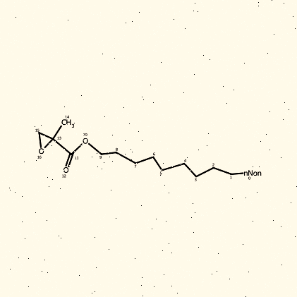 CCCCCCCCCCCCCCCCCCOC(=O)C1(C)CO1